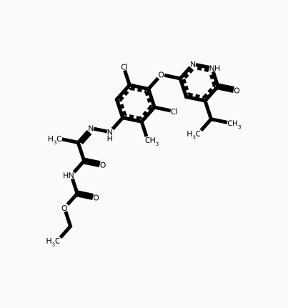 CCOC(=O)NC(=O)/C(C)=N\Nc1cc(Cl)c(Oc2cc(C(C)C)c(=O)[nH]n2)c(Cl)c1C